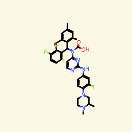 Cc1cc(C)c(C(c2c(F)ccc(F)c2Cl)N(C(=O)O)c2ccnc(Nc3ccc(N4CCN(C)C(C)C4)c(F)c3)n2)c(C)c1